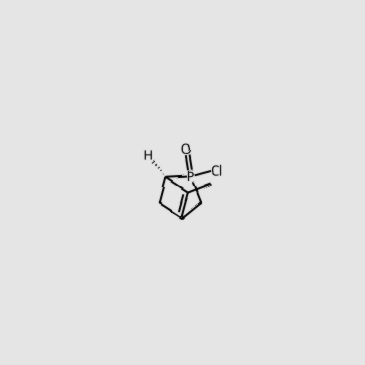 CC1=C2C[C@H]1P(=O)(Cl)C2